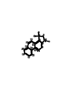 CN1CC(C)(C)c2c1cnc1c2ccc2ccccc21